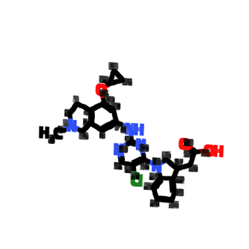 CN1CCc2c(cc(Nc3ncc(Cl)c(N4CC(CC(=O)O)c5ccccc54)n3)cc2OC2CC2)C1